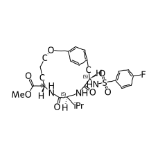 COC(=O)[C@@H]1CCCOc2ccc(cc2)C[C@H](NS(=O)(=O)c2ccc(F)cc2)C(=O)N[C@@H](C(C)C)C(=O)N1